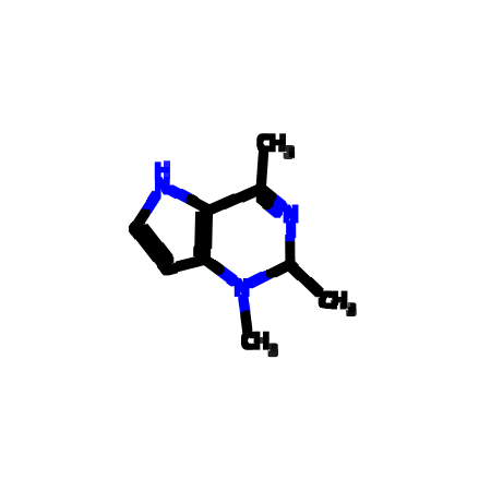 CC1=NC(C)N(C)c2cc[nH]c21